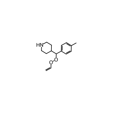 C=COOC(c1ccc(C)cc1)C1CCNCC1